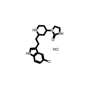 Cl.O=C1NCCN1C1CCNC(CCc2c[nH]c3ccc(Cl)cc23)C1